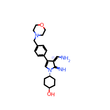 N=C1/C(=C\N)C(c2ccc(CN3CCOCC3)cc2)=CN1[C@H]1CC[C@H](O)CC1